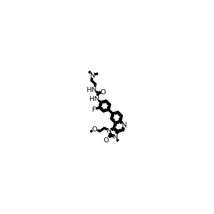 COCCn1c(=O)n(C)c2cnc3ccc(-c4ccc(NC(=O)NCCN(C)C)c(F)c4)cc3c21